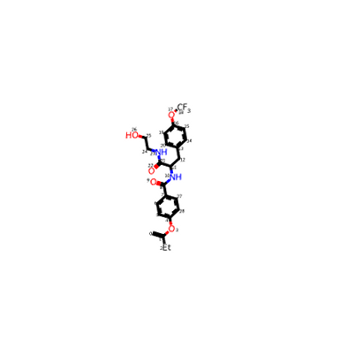 C=C(CC)Oc1ccc(C(=O)NC(Cc2ccc(OC(F)(F)F)cc2)C(=O)NCCO)cc1